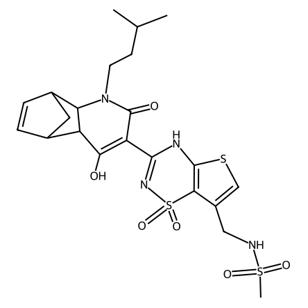 CC(C)CCN1C(=O)C(C2=NS(=O)(=O)c3c(CNS(C)(=O)=O)csc3N2)=C(O)C2C3C=CC(C3)C21